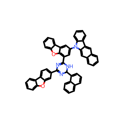 c1ccc2cc3c(cc2c1)c1ccccc1n3-c1cc(C2=NC(c3ccc4c(c3)oc3ccccc34)=NC(c3cccc4ccccc34)N2)c2oc3ccccc3c2c1